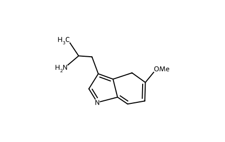 COC1=CC=C2N=CC(CC(C)N)=C2C1